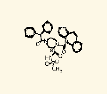 CS(=O)(=O)NC(=O)[C@@H]1CN(C(=O)C(c2ccccc2)c2ccccc2)CCN1C(=O)N1c2ccccc2C=Cc2ccccc21